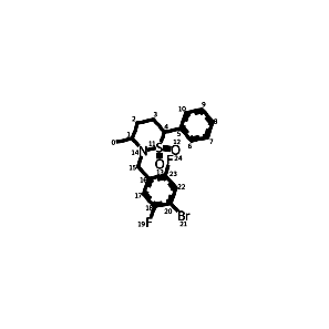 CC1CCC(c2ccccc2)S(=O)(=O)N1Cc1cc(F)c(Br)cc1F